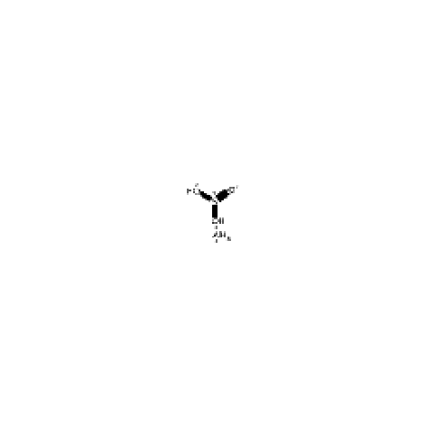 O=S(O)O.[AlH3]